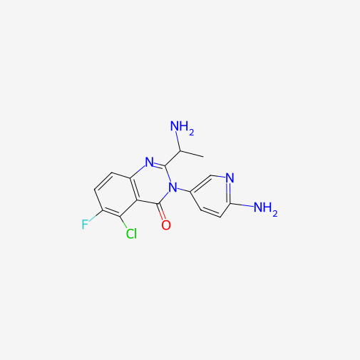 CC(N)c1nc2ccc(F)c(Cl)c2c(=O)n1-c1ccc(N)nc1